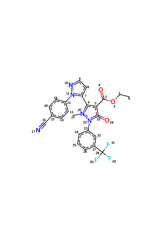 CCOC(=O)c1c(-c2ccnn2-c2ccc(C#N)cc2)n(C)n(-c2cccc(C(F)(F)F)c2)c1=O